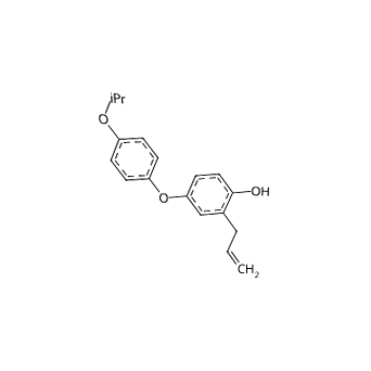 C=CCc1cc(Oc2ccc(OC(C)C)cc2)ccc1O